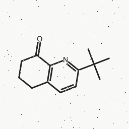 CC(C)(C)c1ccc2c(n1)C(=O)CCC2